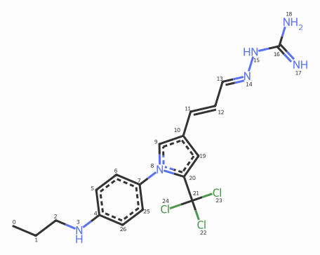 CCCNc1ccc(-n2cc(/C=C/C=N/NC(=N)N)cc2C(Cl)(Cl)Cl)cc1